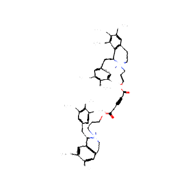 COc1cc2c(cc1OC)C(Cc1cc(OC)c(OC)c(OC)c1)[N+](C)(CCCOC(=O)C#CC(=O)OCCC[N+]1(C)CCc3cc(OC)c(OC)c(OC)c3C1Cc1cc(OC)c(OC)c(OC)c1)CC2